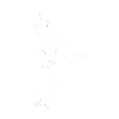 CC(C)(O)CCn1c(NC(=O)c2ccc(-c3cn[nH]c3)s2)nc2cc3[nH]c(=O)[nH]c3cc21